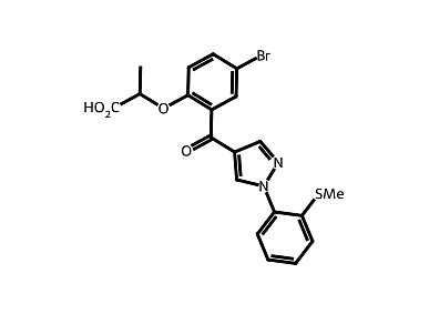 CSc1ccccc1-n1cc(C(=O)c2cc(Br)ccc2OC(C)C(=O)O)cn1